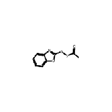 CC(=O)SSc1nc2ccccc2o1